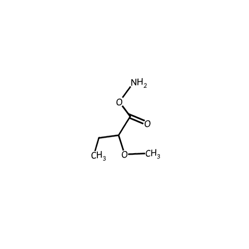 CCC(OC)C(=O)ON